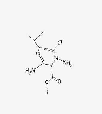 COC(=O)C1C(N)=NC(C(C)C)=C(Cl)N1N